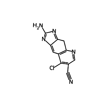 N#Cc1cnc2c(c1Cl)C=C1N=C(N)N=C1C2